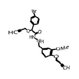 C#CCOc1ccc(CNNC(=O)C(OCC#C)c2ccc(Br)cc2)cc1OC